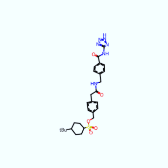 CC(C)(C)C1CCC(S(=O)(=O)OCc2ccc(CC(=O)NCc3ccc(C(=O)Nc4nn[nH]n4)cc3)cc2)CC1